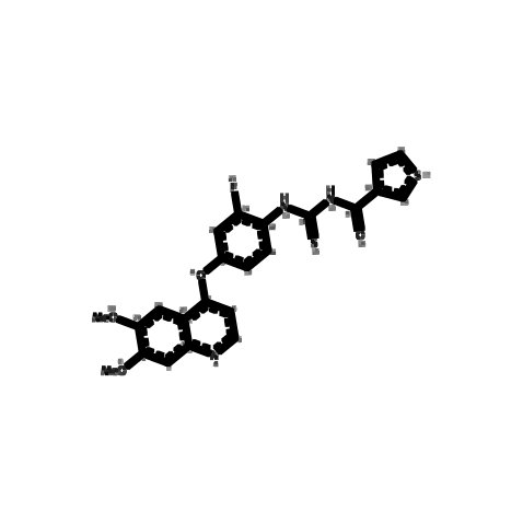 COc1cc2nccc(Oc3ccc(NC(=S)NC(=O)c4ccsc4)c(F)c3)c2cc1OC